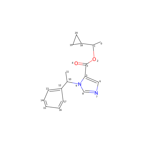 CC(OC(=O)c1cncn1C(C)c1ccccc1)C1CC1